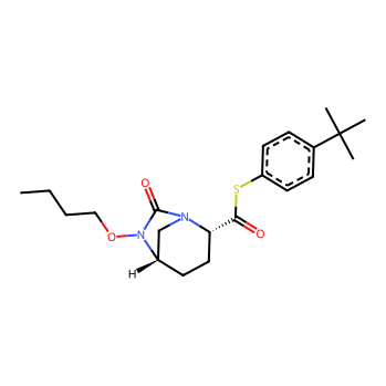 CCCCON1C(=O)N2C[C@@H]1CC[C@H]2C(=O)Sc1ccc(C(C)(C)C)cc1